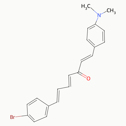 CN(C)c1ccc(C=CC(=O)C=CC=Cc2ccc(Br)cc2)cc1